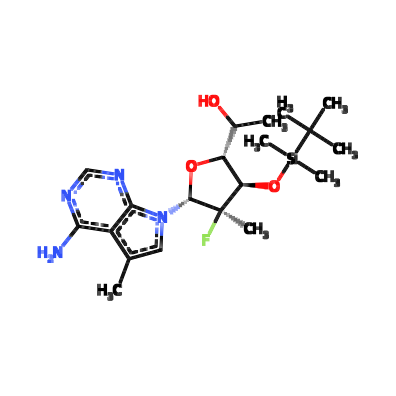 Cc1cn([C@@H]2O[C@H](C(C)O)[C@@H](O[Si](C)(C)C(C)(C)C)[C@@]2(C)F)c2ncnc(N)c12